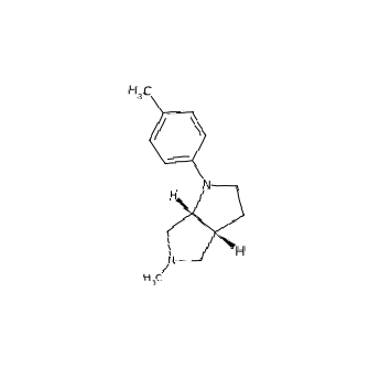 Cc1ccc(N2CC[C@@H]3CN(C)C[C@@H]32)cc1